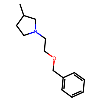 CC1CCN(CCOCc2ccccc2)C1